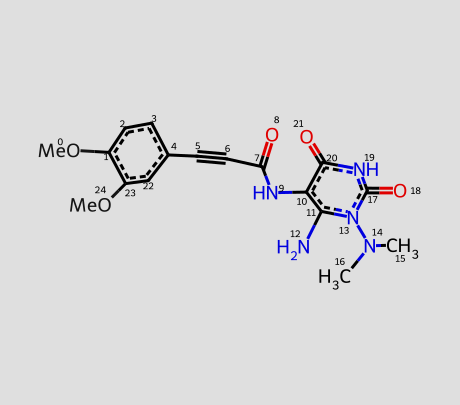 COc1ccc(C#CC(=O)Nc2c(N)n(N(C)C)c(=O)[nH]c2=O)cc1OC